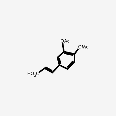 COc1ccc(C=CC(=O)O)cc1OC(C)=O